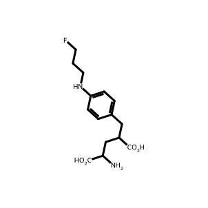 NC(CC(Cc1ccc(NCCCF)cc1)C(=O)O)C(=O)O